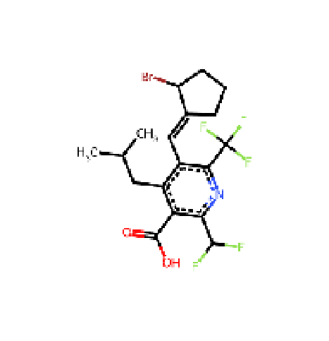 CC(C)Cc1c(C=C2CCCC2Br)c(C(F)(F)F)nc(C(F)F)c1C(=O)O